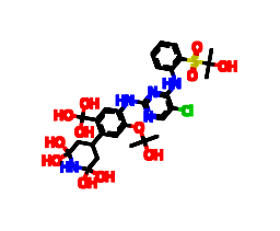 CC(C)(O)Oc1cc(C2CC(O)(O)NC(O)(O)C2)c(C(O)(O)O)cc1Nc1ncc(Cl)c(Nc2ccccc2S(=O)(=O)C(C)(C)O)n1